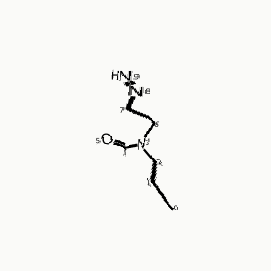 CCCN(C=O)CCN=N